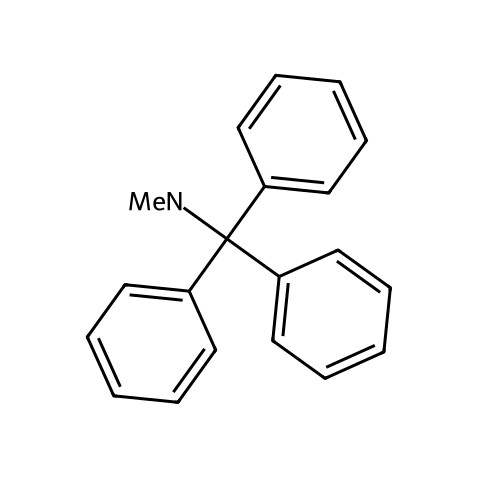 [CH2]NC(c1ccccc1)(c1ccccc1)c1ccccc1